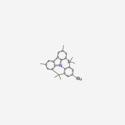 CCC(C)c1cc2c3c(c1)[Si](C)(C)c1cc(C)cc4c5cc(C)cc(c5n-3c14)C2(C)C